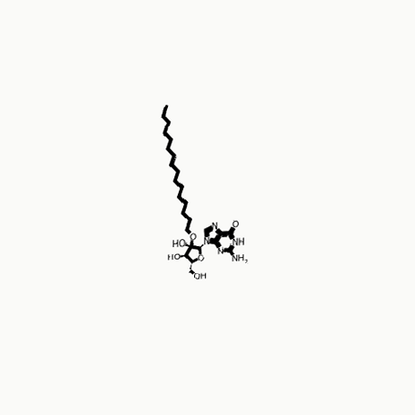 CCCCCCCCCCCCCCCCO[C@@]1(O)[C@H](O)[C@@H](CO)O[C@H]1n1cnc2c(=O)[nH]c(N)nc21